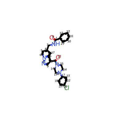 O=C(NCc1ccn2ncc(C(=O)N3CCN(c4ccc(Cl)cc4)CC3)c2c1)c1ccccc1